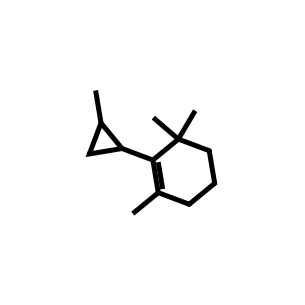 CC1=C(C2CC2C)C(C)(C)CCC1